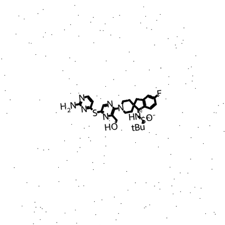 CC(C)(C)[S+]([O-])N[C@@H]1c2ccc(F)cc2CC12CCN(c1ncc(Sc3ccnc(N)n3)nc1CO)CC2